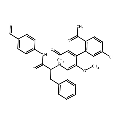 COC(=C/N(C)C(Cc1ccccc1)C(=O)Nc1ccc(C=O)cc1)/C(=C\C=O)c1cc(Cl)ccc1C(C)=O